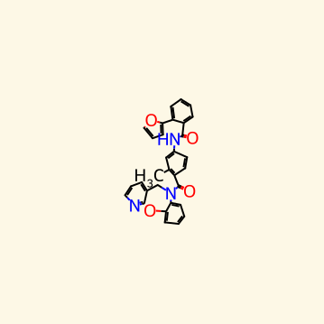 Cc1cc(NC(=O)c2ccccc2-c2ccco2)ccc1C(=O)N1Cc2cccnc2Oc2ccccc21